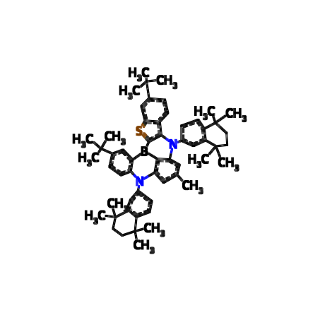 Cc1cc2c3c(c1)N(c1ccc4c(c1)C(C)(C)CCC4(C)C)c1c(sc4cc(C(C)(C)C)ccc14)B3c1cc(C(C)(C)C)ccc1N2c1ccc2c(c1)C(C)(C)CCC2(C)C